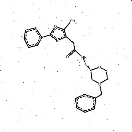 Cc1oc(-c2ccccc2)nc1CC(=O)NC[C@@H]1CN(Cc2ccccc2)CCO1